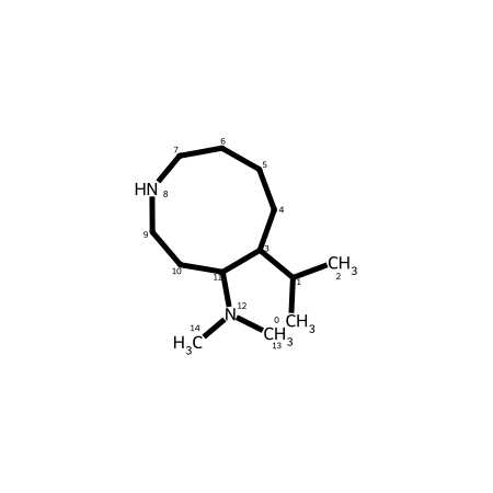 CC(C)C1CCCCNCCC1N(C)C